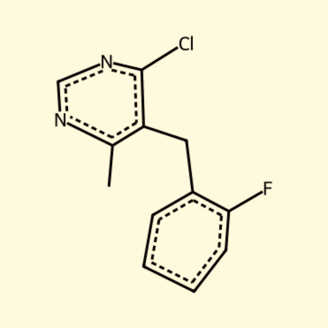 Cc1ncnc(Cl)c1Cc1ccccc1F